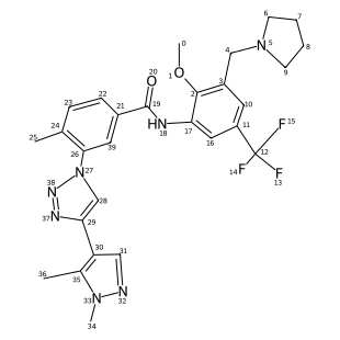 COc1c(CN2CCCC2)cc(C(F)(F)F)cc1NC(=O)c1ccc(C)c(-n2cc(-c3cnn(C)c3C)nn2)c1